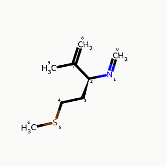 C=N[C@@H](CCSC)C(=C)C